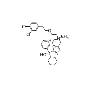 C[N+](C)(CCOCCc1ccc(Cl)c(Cl)c1)Cc1cnc([C@](O)(c2ccccc2)C2CCCCC2)o1